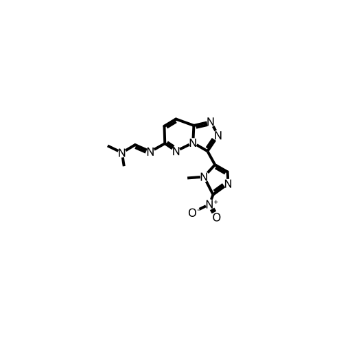 CN(C)C=Nc1ccc2nnc(-c3cnc([N+](=O)[O-])n3C)n2n1